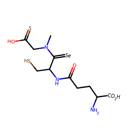 CN(CC(O)=S)C(=[Se])C(CS)NC(=O)CCC(N)C(=O)O